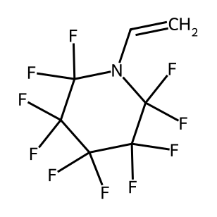 C=CN1C(F)(F)C(F)(F)C(F)(F)C(F)(F)C1(F)F